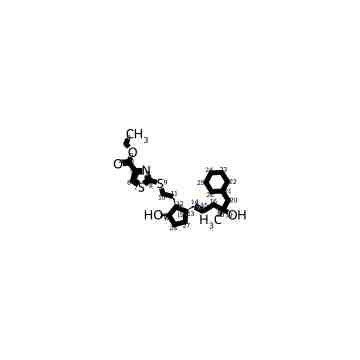 CCOC(=O)c1csc(SCC[C@@H]2[C@H](/C=C/C[C@](C)(O)CC3CCCCC3)CC[C@@H]2O)n1